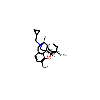 COc1ccc2c3c1O[C@H]1[C@@]4(OC)CC[C@@]5(C[C@@H]4C(C)=O)[C@@H](C2)N(CC2CC2)CC[C@]315